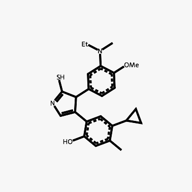 CCN(C)c1cc(C2C(c3cc(C4CC4)c(C)cc3O)=CN=C2S)ccc1OC